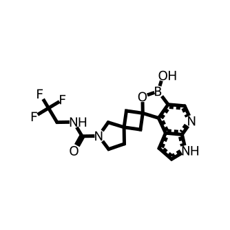 O=C(NCC(F)(F)F)N1CCC2(C1)CC1(C2)OB(O)c2cnc3[nH]ccc3c21